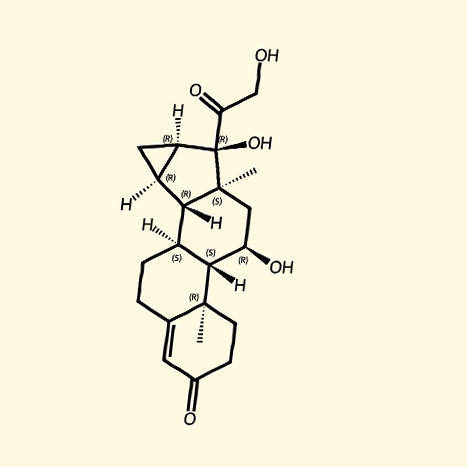 C[C@]12CCC(=O)C=C1CC[C@@H]1[C@@H]2[C@H](O)C[C@@]2(C)[C@H]1[C@H]1C[C@H]1[C@]2(O)C(=O)CO